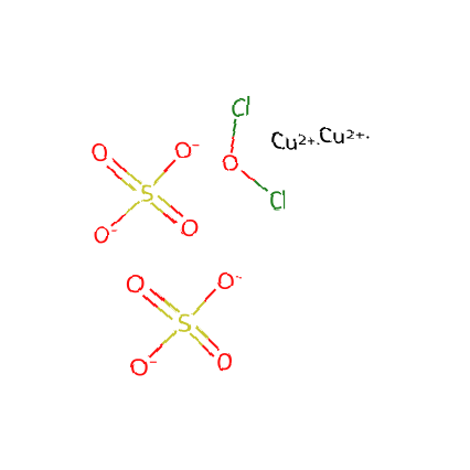 ClOCl.O=S(=O)([O-])[O-].O=S(=O)([O-])[O-].[Cu+2].[Cu+2]